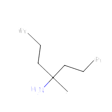 CC(C)CCC(C)(N)CCC(C)C